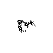 Cc1c(C(=O)O)ccc2c1CC[C@@H]2NC(=O)c1cc(C(=O)NCc2ccc(F)c(CNc3c(N)c(=O)c3=O)c2)nc2ccnn12